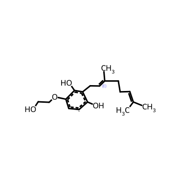 CC(C)=CCC/C(C)=C/Cc1c(O)[c]cc(OCCO)c1O